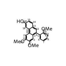 COc1cc2c(-c3cccnc3OC)cc3ccc(O)cc3c2cc1OC